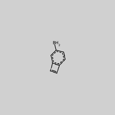 Bc1ccc2c(c1)C=C2